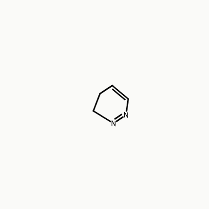 C1=CN=NCC1